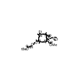 CCC1=C(C)c2cc3[nH]c(cc4nc(c5c6[nH]c(cc1n2)c(C)c6C(=O)N(CCN1CCOCC1)C5=O)[C@@H](CCC(=O)OC)[C@@H]4C)c(C)c3C(C)OCCOCCNC(=O)OC(C)(C)C